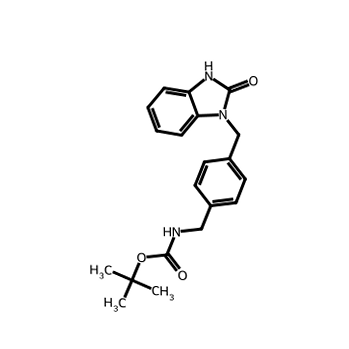 CC(C)(C)OC(=O)NCc1ccc(Cn2c(=O)[nH]c3ccccc32)cc1